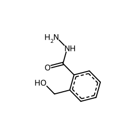 NNC(=O)c1ccccc1CO